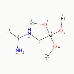 CCO[Si](CNC(C)N)(OCC)OCC